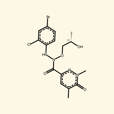 Cc1cc(C(=O)N(Nc2ccc(Br)cc2Cl)OC[C@H](C)O)nn(C)c1=O